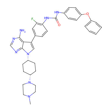 CN1CCN([C@H]2CC[C@@H](n3cc(-c4ccc(NC(=O)Nc5ccc(Oc6ccccc6)cc5)c(F)c4)c4c(N)ncnc43)CC2)CC1